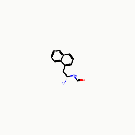 N[C@H](Cc1cccc2ccccc12)NC=O